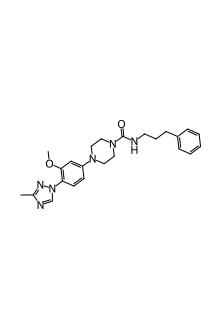 COc1cc(N2CCN(C(=O)NCCCc3ccccc3)CC2)ccc1-n1cnc(C)n1